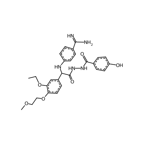 CCOc1cc(C(Nc2ccc(C(=N)N)cc2)C(=O)NNC(=O)c2ccc(O)cc2)ccc1OCCOC